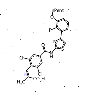 CCCCCOc1cccc(-c2csc(NC(=O)c3cc(Cl)c(/C=C(/C)C(=O)O)c(Cl)c3)n2)c1F